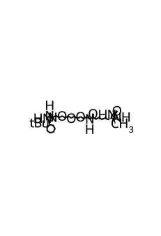 C[C@@H]1NC(=O)N[C@@H]1CCCCCC(=O)NCCOCCOCCOCCN1CC(C2CCCCCC2)(C(C)(C)C)NN1